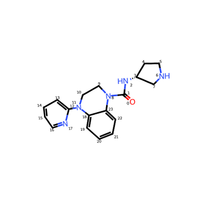 O=C(N[C@@H]1CCNC1)N1CCN(c2ccccn2)c2ccccc21